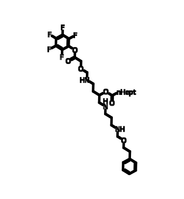 CCCCCCCC(=O)OC(CCNCOCC(=O)Oc1c(F)c(F)c(F)c(F)c1F)CNCCCNCOCCc1ccccc1